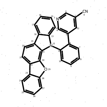 N#Cc1cncc(-c2ccccc2-n2c3ccccc3c3ccc4c5ccccc5oc4c32)c1